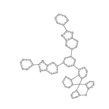 c1ccc(-c2nc3cc(-c4cc(-c5ccc6sc(-c7ccccc7)nc6c5)cc(-c5cccc6c5-c5ccccc5C65c6ccccc6Oc6ccccc65)c4)ccc3s2)cc1